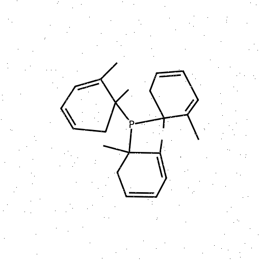 CC1=CC=CCC1(C)P(C1(C)CC=CC=C1C)C1(C)CC=CC=C1C